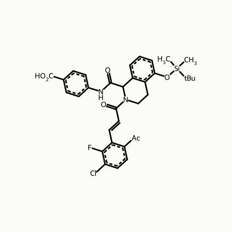 CC(=O)c1ccc(Cl)c(F)c1/C=C/C(=O)N1CCc2c(O[Si](C)(C)C(C)(C)C)cccc2C1C(=O)Nc1ccc(C(=O)O)cc1